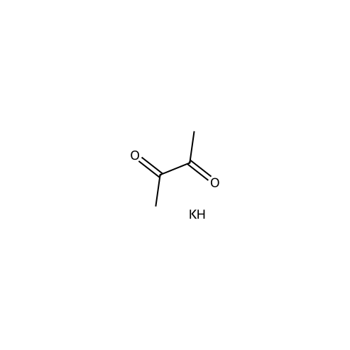 CC(=O)C(C)=O.[KH]